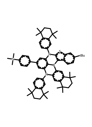 CC(C)(C)c1ccc2c3c(sc2c1)N(c1ccc2c(c1)C(C)(C)CCC2(C)C)c1cc(-c2ccc([Si](C)(C)C)cc2)cc2c1B3c1cc3c(cc1N2c1ccc2c(c1)C(C)(C)CCC2(C)C)C(C)(C)CCC3(C)C